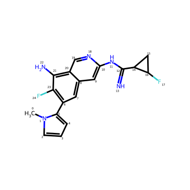 Cn1cccc1-c1cc2cc(NC(=N)C3CC3F)ncc2c(N)c1F